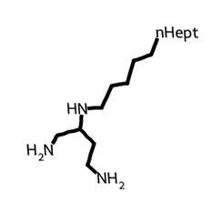 CCCCCCCCCCCCNC(CN)CCN